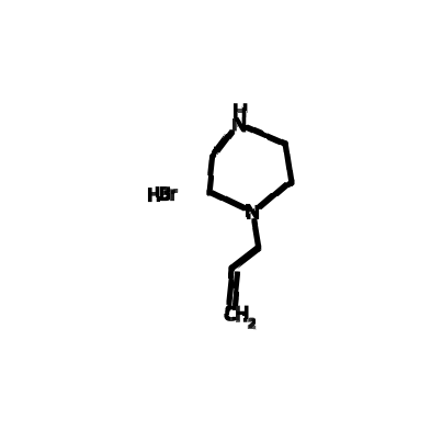 Br.C=CCN1CCNCC1